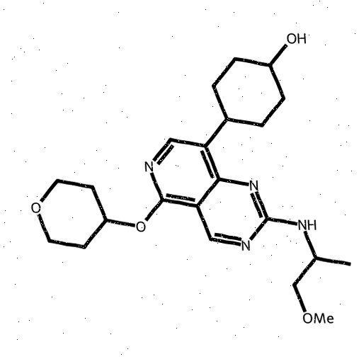 COCC(C)Nc1ncc2c(OC3CCOCC3)ncc(C3CCC(O)CC3)c2n1